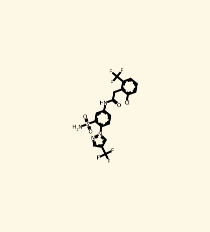 NS(=O)(=O)c1cc(NC(=O)Cc2c(Cl)cccc2C(F)(F)F)ccc1-n1cc(C(F)(F)F)cn1